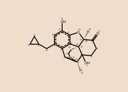 O=C1CCC2(O)[C@H]3Cc4c(CC5CC5)cc(O)c5c4[C@@]2(CCN3)[C@H]1O5